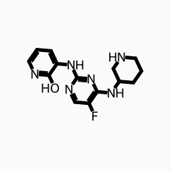 Oc1ncccc1Nc1ncc(F)c(NC2CCCNC2)n1